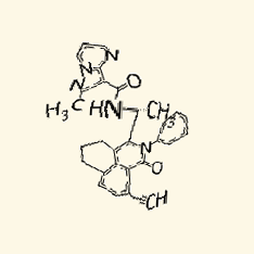 C#Cc1ccc2c3c(c([C@@H](C)NC(=O)c4c(C)nn5cccnc45)n(-c4ccccc4)c(=O)c13)CCC2